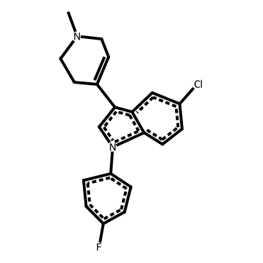 CN1CC=C(c2cn(-c3ccc(F)cc3)c3ccc(Cl)cc23)CC1